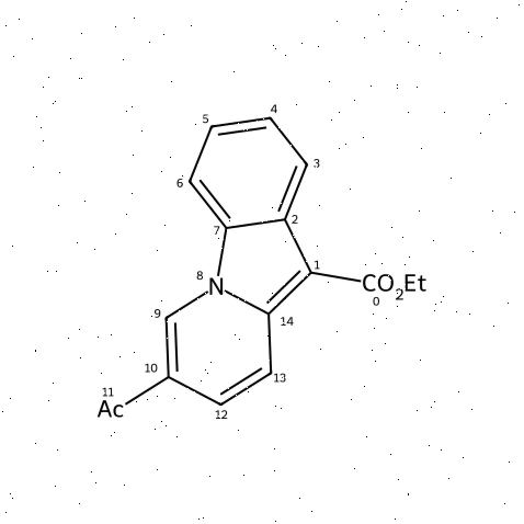 CCOC(=O)c1c2ccccc2n2cc(C(C)=O)ccc12